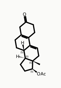 CC(=O)O[C@H]1CC[C@H]2[C@@H]3CCC4=C(CCC(=O)C4)C3=CC[C@]12C